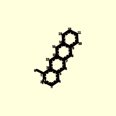 Cc1nccc2cc3cc4ccccc4cc3cc12